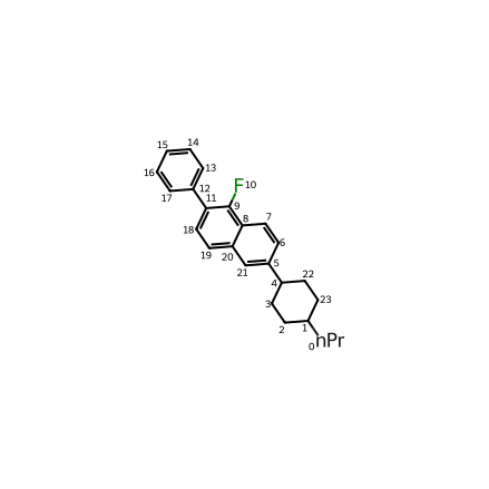 CCCC1CCC(c2ccc3c(F)c(-c4ccccc4)ccc3c2)CC1